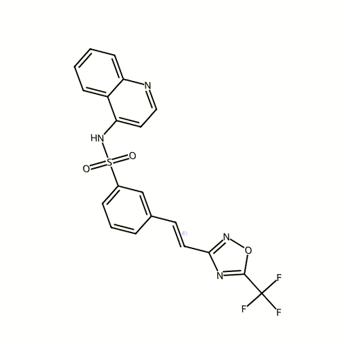 O=S(=O)(Nc1ccnc2ccccc12)c1cccc(/C=C/c2noc(C(F)(F)F)n2)c1